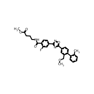 COCc1cc(-c2nc(-c3ccc(C(=O)NCCCC(=O)OC)c(F)c3)no2)ccc1-c1ccccc1C